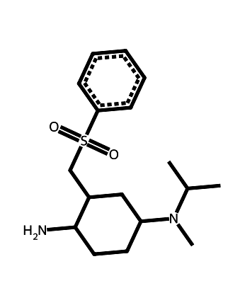 CC(C)N(C)C1CCC(N)C(CS(=O)(=O)c2ccccc2)C1